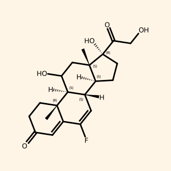 C[C@]12CCC(=O)C=C1C(F)=C[C@@H]1[C@@H]2C(O)C[C@@]2(C)[C@H]1CC[C@]2(O)C(=O)CO